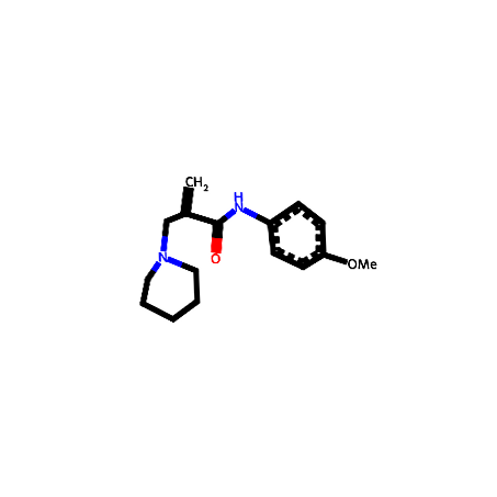 C=C(CN1CCCCC1)C(=O)Nc1ccc(OC)cc1